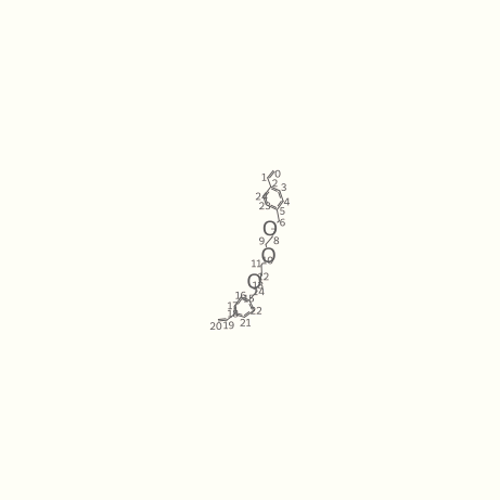 C=Cc1ccc(COCCOCCOCc2ccc(C=C)cc2)cc1